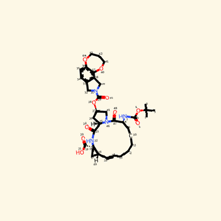 CC(C)(C)OC(=O)N[C@H]1CCCCC/C=C\[C@@H]2C[C@@]2(C(=O)O)NC(=O)[C@@H]2C[C@@H](OC(=O)N3Cc4ccc5c(c4C3)OCCCO5)CN2C1=O